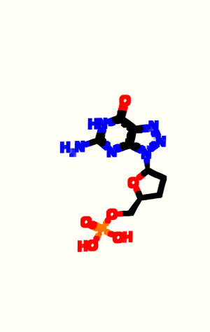 Nc1nc2c(nnn2[C@H]2CC[C@@H](COP(=O)(O)O)O2)c(=O)[nH]1